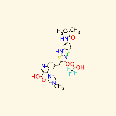 CC(C)C(=O)Nc1ccc(Cl)c(NC2=NC(=O)/C(=C/c3ccc4ncc(C(=O)O)c(N5CCN(C)CC5)c4c3)S2)c1.O=C(O)C(F)(F)F